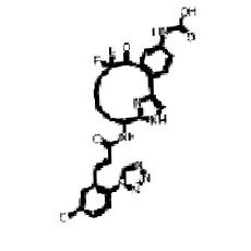 O=C(O)Nc1ccc2c(c1)C(=O)C(F)(F)CCCCC(NC(=O)/C=C/c1cc(Cl)ccc1-n1cnnn1)c1nc-2c[nH]1